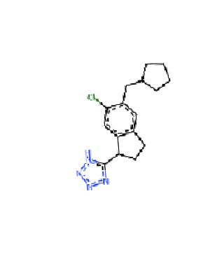 Clc1cc2c(cc1CC1CCCC1)CCC2c1nnn[nH]1